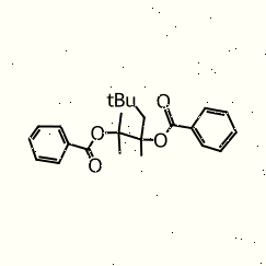 CC(C)(C)CC(C)(OC(=O)c1ccccc1)C(C)(C)OC(=O)c1ccccc1